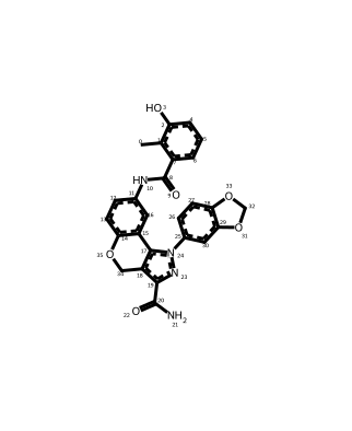 Cc1c(O)cccc1C(=O)Nc1ccc2c(c1)-c1c(c(C(N)=O)nn1-c1ccc3c(c1)OCO3)CO2